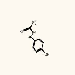 NC(=O)NNc1ccc(O)cc1